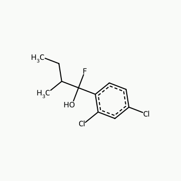 CCC(C)C(O)(F)c1ccc(Cl)cc1Cl